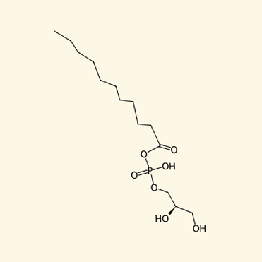 CCCCCCCCCCC(=O)OP(=O)(O)OC[C@H](O)CO